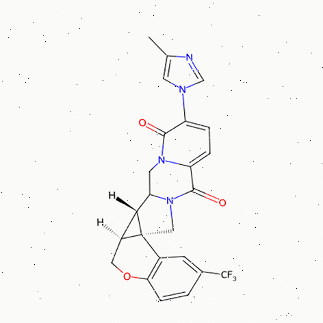 Cc1cn(-c2ccc3n(c2=O)CC2[C@H]4[C@@H]5COc6ccc(C(F)(F)F)cc6[C@@]54CN2C3=O)cn1